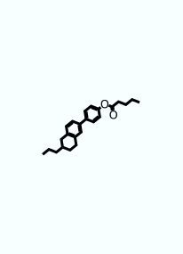 CCCCC(=O)Oc1ccc(-c2ccc3c(c2)CCC(CCC)C3)cc1